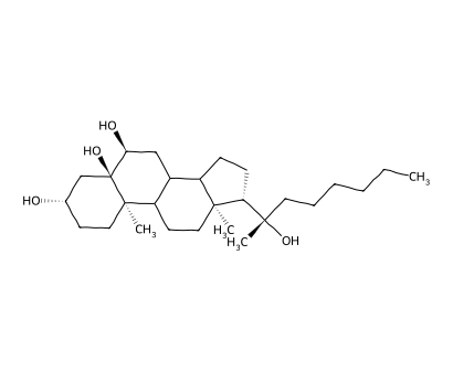 CCCCCC[C@](C)(O)[C@H]1CCC2C3C[C@H](O)[C@@]4(O)C[C@@H](O)CC[C@]4(C)C3CC[C@@]21C